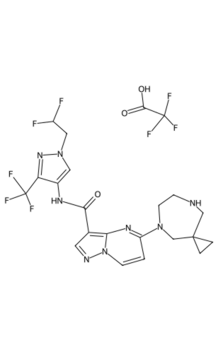 O=C(Nc1cn(CC(F)F)nc1C(F)(F)F)c1cnn2ccc(N3CCNCC4(CC4)C3)nc12.O=C(O)C(F)(F)F